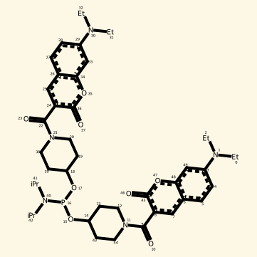 CCN(CC)c1ccc2cc(C(=O)N3CCC(OP(OC4CCN(C(=O)c5cc6ccc(N(CC)CC)cc6oc5=O)CC4)N(C(C)C)C(C)C)CC3)c(=O)oc2c1